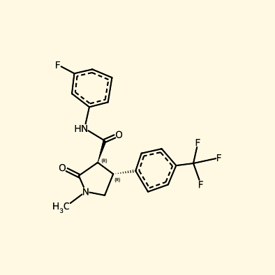 CN1C[C@@H](c2ccc(C(F)(F)F)cc2)[C@H](C(=O)Nc2cccc(F)c2)C1=O